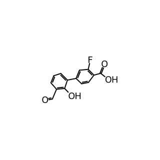 O=Cc1cccc(-c2ccc(C(=O)O)c(F)c2)c1O